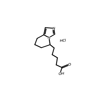 Cl.O=C(O)CCCCC1CCCc2cncn21